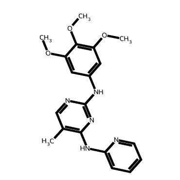 COc1cc(Nc2ncc(C)c(Nc3ccccn3)n2)cc(OC)c1OC